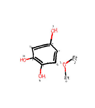 CCOCC.Oc1ccc(O)c(O)c1